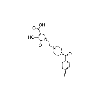 O=C(O)C1=C(O)C(=O)N(CCN2CCN(C(=O)c3ccc(F)cc3)CC2)C1